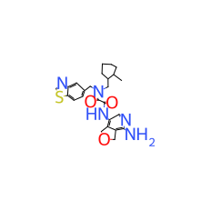 CC1CCCCC1CN(Cc1ccc2scnc2c1)C(=O)C(=O)Nc1cnc(N)c2c1COC2